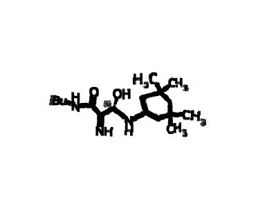 CCC(C)NC(=O)C(=N)[C@H](O)NC1CC(C)(C)CC(C)(C)C1